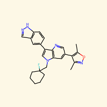 Cc1noc(C)c1-c1cnc2c(-c3ccc4[nH]ncc4c3)cn(CC3(F)CCCCC3)c2c1